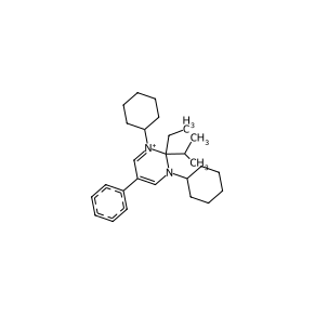 CCC1(C(C)C)N(C2CCCCC2)C=C(c2ccccc2)C=[N+]1C1CCCCC1